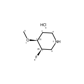 CO[C@H]1CCNC[C@H]1F.Cl